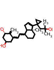 C=C1/C(=C\C=C2/CCC[C@]3(C)C(C4(CC(C)(C)O)CC4)=CCC23)CC(O)C[C@@H]1O